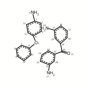 Nc1ccc(Oc2ccccc2)cc1.Nc1cccc(C(=O)c2cccc(N)c2)c1